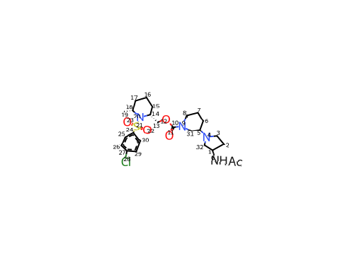 CC(=O)NC1CCN(C2CCCN(C(=O)OC[C@H]3CCC[C@@H](C)N3S(=O)(=O)c3ccc(Cl)cc3)C2)C1